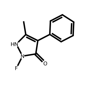 Cc1[nH]n(F)c(=O)c1-c1ccccc1